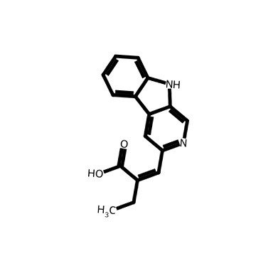 CCC(=Cc1cc2c(cn1)[nH]c1ccccc12)C(=O)O